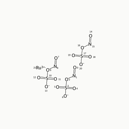 O=NOS(=O)(=O)[O-].O=NOS(=O)(=O)[O-].O=NOS(=O)(=O)[O-].[Ru+3]